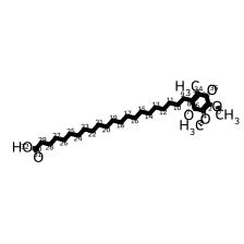 COC1=C(OC)C(=O)C(CCCCCCCCCCCCCCCCCCCCCC(=O)O)=C(C)C1=O